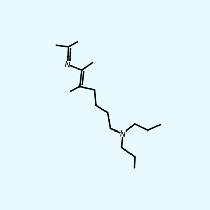 CCCN(CCC)CCCC/C(C)=C(\C)N=C(C)C